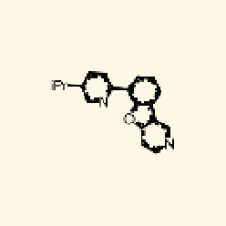 CC(C)c1ccc(-c2cccc3c2oc2ccncc23)nc1